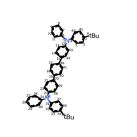 CC(C)(C)c1ccc(N(c2ccccc2)c2ccc(-c3ccc(-c4ccc(N(c5ccccc5)c5ccc(C(C)(C)C)cc5)cc4)cc3)cc2)cc1